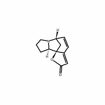 O=C1C=C2C=C[C@@H]3C[C@@]2(O1)[C@H]1CCCN31